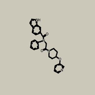 O=C(CN(C(=O)c1ccc2cc[nH]c2c1)c1ccccc1)N1CCC(Oc2cccnc2)CC1